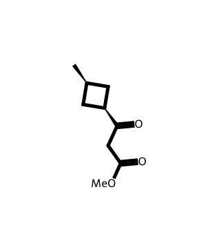 COC(=O)CC(=O)[C@H]1C[C@@H](C)C1